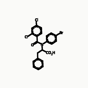 O=C(O)C(Cc1ccccc1)N(C(=O)c1ccc(Cl)cc1Cl)c1ccc(Br)cc1